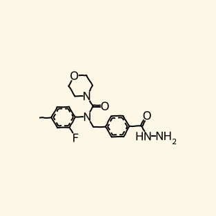 Cc1ccc(N(Cc2ccc(C(=O)NN)cc2)C(=O)N2CCOCC2)c(F)c1